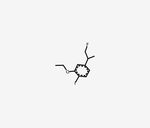 CCOc1cc([C](C)CF)ccc1I